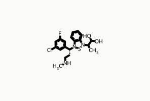 CNCC[C@H](c1cc(F)cc(Cl)c1)N1SN(C(C)C(O)O)c2ccccc21